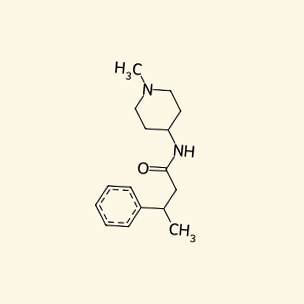 CC(CC(=O)NC1CCN(C)CC1)c1ccccc1